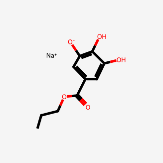 CCCOC(=O)c1cc([O-])c(O)c(O)c1.[Na+]